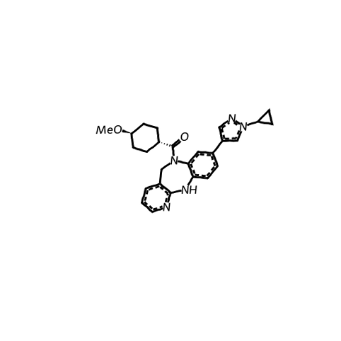 CO[C@H]1CC[C@H](C(=O)N2Cc3cccnc3Nc3ccc(-c4cnn(C5CC5)c4)cc32)CC1